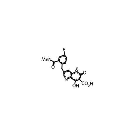 CNC(=O)c1cc(F)ccc1Cc1cnc2c(O)c(C(=O)O)c(=O)n(C)c2c1